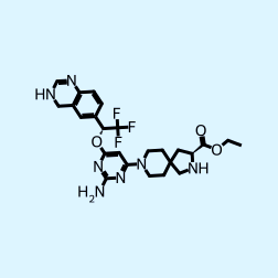 CCOC(=O)[C@@H]1CC2(CCN(c3cc(O[C@H](c4ccc5c(c4)CNC=N5)C(F)(F)F)nc(N)n3)CC2)CN1